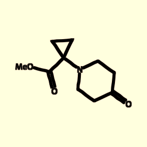 COC(=O)C1(N2CCC(=O)CC2)CC1